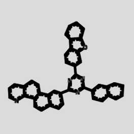 c1ccc2cc(-c3nc(-c4ccc5c(c4)oc4ccccc45)nc(-c4ccc5ccc6c(ccc7cccnc76)c5c4)n3)ccc2c1